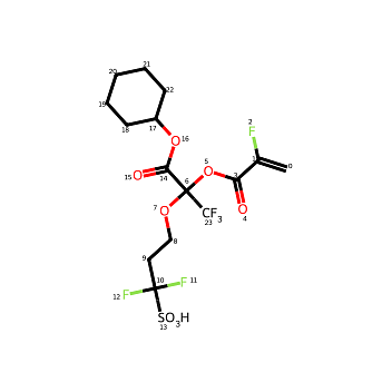 C=C(F)C(=O)OC(OCCC(F)(F)S(=O)(=O)O)(C(=O)OC1CCCCC1)C(F)(F)F